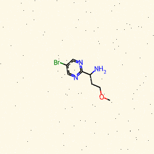 COCCC(N)c1ncc(Br)cn1